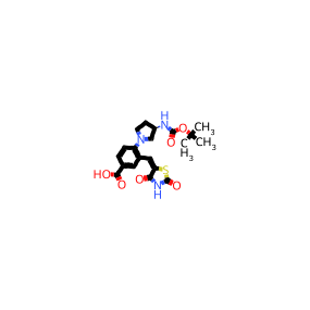 CC(C)(C)OC(=O)N[C@H]1CCN(c2ccc(C(=O)O)cc2C=C2SC(=O)NC2=O)C1